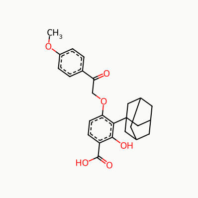 COc1ccc(C(=O)COc2ccc(C(=O)O)c(O)c2C23CC4CC(CC(C4)C2)C3)cc1